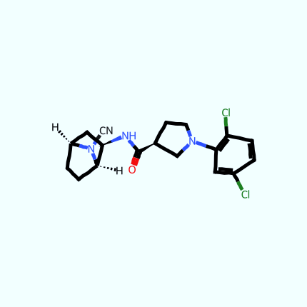 N#CN1[C@H]2CC[C@@H]1[C@H](NC(=O)[C@H]1CCN(c3cc(Cl)ccc3Cl)C1)C2